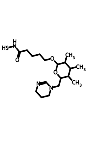 CC1C(CN2C=NCCC2)OC(OCCCCC(=O)NS)C(C)C1C